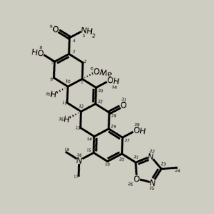 CO[C@@]12CC(C(N)=O)=C(O)C[C@@H]1C[C@@H]1Cc3c(N(C)C)cc(-c4nc(C)no4)c(O)c3C(=O)C1=C2O